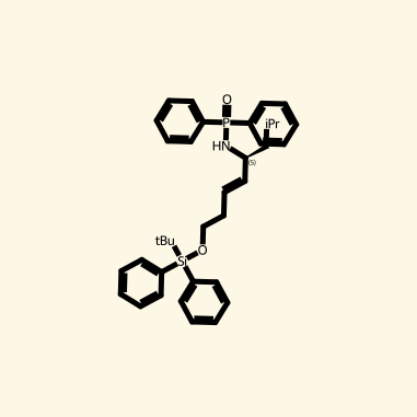 CC(C)C[C@@H](C=CCCO[Si](c1ccccc1)(c1ccccc1)C(C)(C)C)NP(=O)(c1ccccc1)c1ccccc1